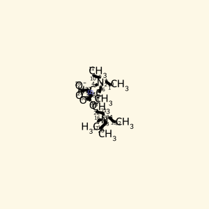 CCC[N+](CC)(CCC)CCC.CCC[N+](CC)(CCC)CCC.O=C([O-])/C=C\C(=O)[O-]